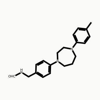 Cc1ccc(N2CCCN(c3ccc(CNC=O)cc3)CC2)cc1